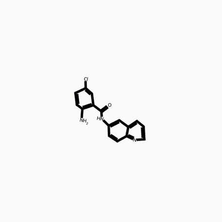 Nc1ccc(Cl)cc1C(=O)Nc1ccc2ncccc2c1